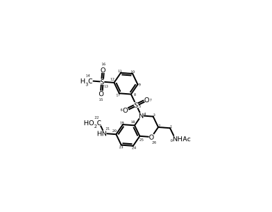 CC(=O)NCC1CN(S(=O)(=O)c2cccc(S(C)(=O)=O)c2)c2cc(NC(=O)O)ccc2O1